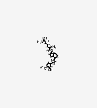 CC(C)Oc1ccc(-c2nc(-c3cccc4c3CC=C4OC(=O)C(N)CCCNC(=N)N)no2)cc1C#N